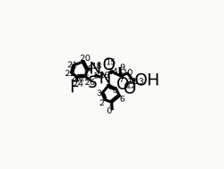 Cc1ccc2c(c1)OC(C)(CC(=O)O)C(=O)N2c1nc2cccc(F)c2s1